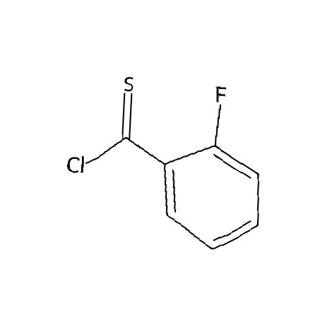 Fc1ccccc1C(=S)Cl